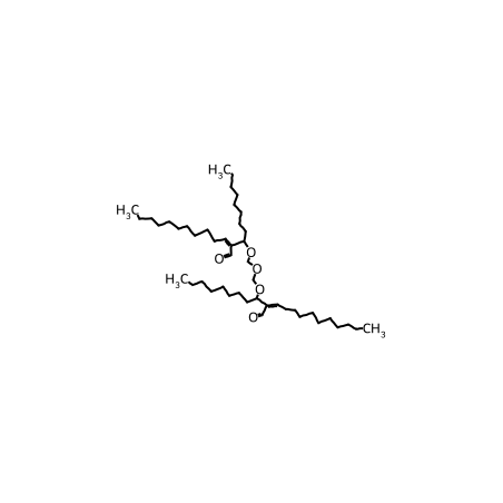 CCCCCCCCCCC=C(C=O)C(CCCCCCCC)OCOCOC(CCCCCCCC)C(C=O)=CCCCCCCCCCC